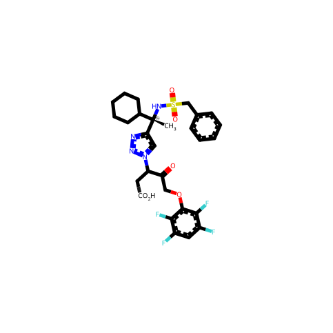 C[C@@](NS(=O)(=O)Cc1ccccc1)(c1cn(C(CC(=O)O)C(=O)COc2c(F)c(F)cc(F)c2F)nn1)C1CCCCC1